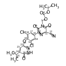 CC(C)OC(=O)OCn1c(=O)c(C#N)nn(-c2cc(Cl)c(Oc3cc(C(C)C)c(=O)[nH]n3)c(Cl)c2)c1=O